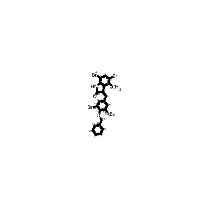 Cc1c(Br)cc(Br)c2c1C(=Cc1cc(Br)c(OCc3ccccc3)c(C(C)(C)C)c1)C(=O)N2